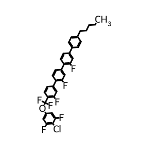 CCCCCc1ccc(-c2ccc(-c3ccc(-c4ccc(C(F)(F)Oc5cc(F)c(Cl)c(F)c5)c(F)c4)c(F)c3)c(F)c2)cc1